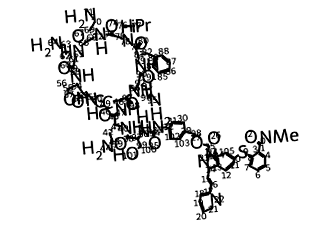 CNC(=O)c1ccccc1Sc1ccc2c(/C=C/c3ccccn3)nn(C(=O)OCc3ccc(NC(=O)NC(C(=O)N[C@H](CCN)C(=O)N[C@@H]4CCNC(=O)[C@H]([C@@H](C)O)NC(=O)[C@H](CCN)NC(=O)[C@H](CCN)NC(=O)[C@H](CC(C)C)NC(=O)[C@@H](Cc5ccccc5)NC(=O)[C@H](CCN)NC4=O)[C@H](C)O)cc3)c2c1